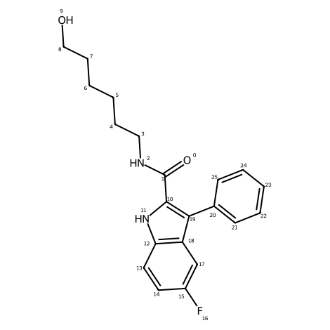 O=C(NCCCCCCO)c1[nH]c2ccc(F)cc2c1-c1ccccc1